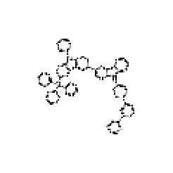 c1ccc(-c2cccc(-c3ccc(-n4c5ccccc5c5cc(-c6ccc7c(c6)c6cc([Si](c8ccccc8)(c8ccccc8)c8ccccc8)ccc6n7-c6ccccc6)ccc54)cc3)c2)cc1